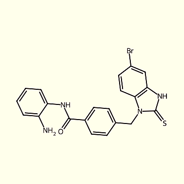 Nc1ccccc1NC(=O)c1ccc(Cn2c(=S)[nH]c3cc(Br)ccc32)cc1